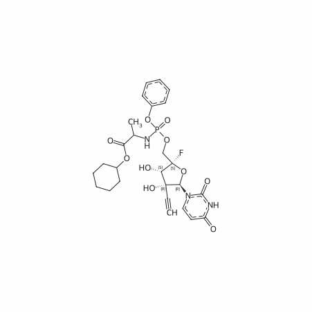 C#C[C@]1(O)[C@H](n2ccc(=O)[nH]c2=O)O[C@](F)(COP(=O)(NC(C)C(=O)OC2CCCCC2)Oc2ccccc2)[C@H]1O